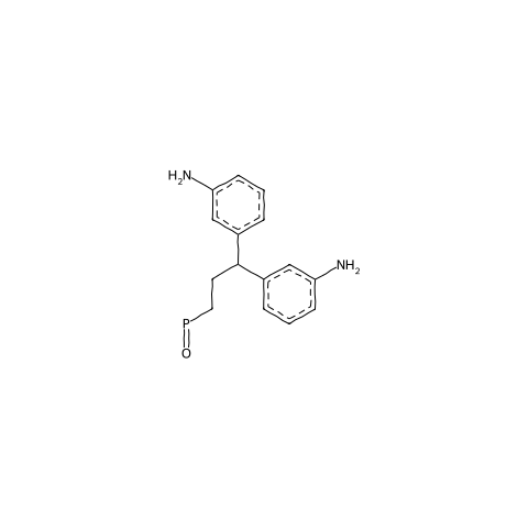 Nc1cccc(C(CCP=O)c2cccc(N)c2)c1